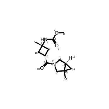 COC(=O)N[C@]1(C)C[C@H](C(=O)N2C[C@H]3CC3(C)C2)C1